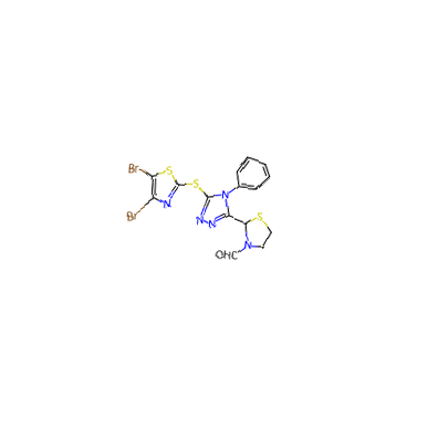 O=CN1CCSC1c1nnc(Sc2nc(Br)c(Br)s2)n1-c1ccccc1